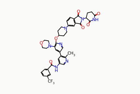 Cc1ncc(NC(=O)c2cccc(C(F)(F)F)c2)cc1-c1cnc(OC2CCN(c3ccc4c(c3)C(=O)N(C3CCC(=O)NC3=O)C4=O)CC2)c(N2CCOCC2)c1